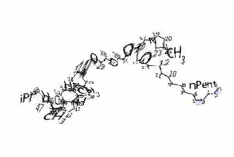 CCCCC/C=C\C/C=C\CCCCCCCCOCC(CN1CCC(C)C1)OCCOCCO[C@H]1CC[C@@]2(C)C(=CCC3[C@@H]4CC[C@H]([C@H](C)CCCC(C)C)[C@@]4(C)CC[C@@H]32)C1